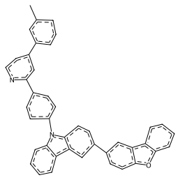 Cc1cccc(-c2ccnc(-c3ccc(-n4c5ccccc5c5cc(-c6ccc7oc8ccccc8c7c6)ccc54)cc3)c2)c1